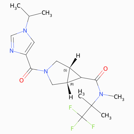 CC(C)n1cnc(C(=O)N2C[C@@H]3C(C(=O)N(C)C(C)(C)C(F)(F)F)[C@@H]3C2)c1